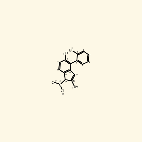 CCc1ccccc1-c1c(CC)ccc2c1C=C(C(C)C)[CH]2[Zr]([Cl])[Cl]